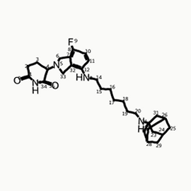 O=C1CCC(N2Cc3c(F)ccc(NCCCCCCCNC45CC6CC(CC(C6)C4)C5)c3C2)C(=O)N1